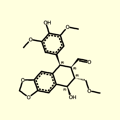 COC[C@H]1[C@H](C=O)[C@H](c2cc(OC)c(O)c(OC)c2)c2cc3c(cc2[C@@H]1O)OCO3